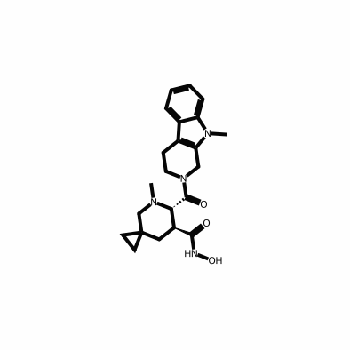 CN1CC2(CC2)C[C@H](C(=O)NO)[C@H]1C(=O)N1CCc2c(n(C)c3ccccc23)C1